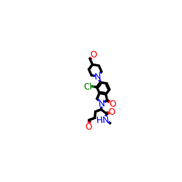 CNC(=O)C(CCC=O)N1Cc2c(ccc(N3CCC(C=O)CC3)c2Cl)C1=O